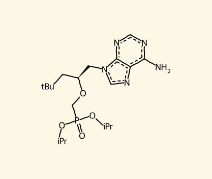 CC(C)OP(=O)(CO[C@H](Cn1cnc2c(N)ncnc21)CC(C)(C)C)OC(C)C